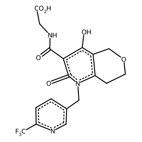 O=C(O)CNC(=O)c1c(O)c2c(n(Cc3ccc(C(F)(F)F)nc3)c1=O)CCOC2